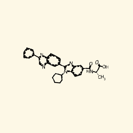 C[C@H](NC(=O)c1ccc2c(c1)nc(-c1ccc3nc(-c4ccccc4)cnc3c1)n2C1CCCCC1)C(=O)O